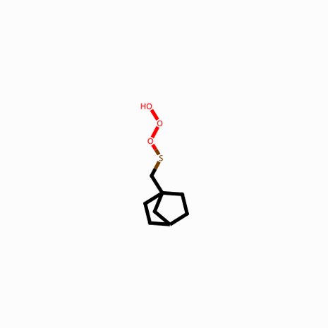 OOOSCC12CCC(CC1)C2